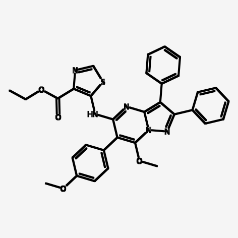 CCOC(=O)c1ncsc1Nc1nc2c(-c3ccccc3)c(-c3ccccc3)nn2c(OC)c1-c1ccc(OC)cc1